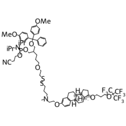 COc1ccc(C(OCC(CCCOCCSSCCCN(C)CCOc2ccc3c(c2)CC[C@@H]2[C@@H]3CC[C@]3(C)[C@@H](OCCCOC(C(F)(F)F)(C(F)(F)F)C(F)(F)F)CC[C@@H]23)COP(OCCC#N)N(C(C)C)C(C)C)(c2ccccc2)c2ccc(OC)cc2)cc1